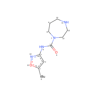 CC(C)(C)c1cc(NC(=O)N2CCCNCC2)no1